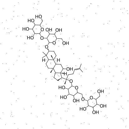 CC(C)=CCC[C@](C)(OC1OC(COC2OC(CO)C(O)C(O)C2O)C(O)C(O)C1O)[C@H]1CC[C@]2(C)[C@@H]1C(O)C[C@@H]1[C@@]3(C)CC[C@H](OC4OC(CO)C(O)C(O)C4OC4OC(CO)C(O)C(O)C4O)C(C)(C)[C@@H]3CC[C@]12C